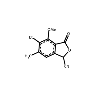 CCc1c(C)cc2c(c1OC)C(=O)OC2C#N